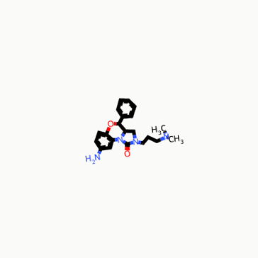 CN(C)CCCN1CC2C(c3ccccc3)Oc3ccc(N)cc3N2C1=O